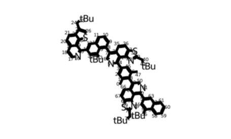 Cc1cc(-c2ncc(-c3cccc4cc(-c5nccc6ccc7c(CC(C)(C)C)csc7c56)cc(C(C)(C)C)c34)c3ccc4sc(CC(C)(C)C)nc4c23)cc(C)c1-c1cnc(-c2cc(C(C)(C)C)c3ccccc3c2)c2c1ccc1sc(CC(C)(C)C)nc12